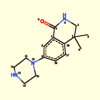 CC1(C)CNC(=O)c2cc(N3CCNCC3)ccc21